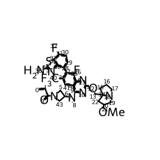 C=CC(=O)N1CC(N(C)c2nc(OCC34CCCN3CC(OC)C4)nc3c(F)c(-c4ccc(F)c5sc(N)nc45)c(C(F)(F)F)cc23)C1